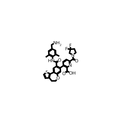 Cc1cc(CN)cc(C)c1NC(=O)c1cc2c(cc1-c1ccc(C(=O)N3CCC(F)(F)C3)nc1C(=O)O)OCCc1ccsc1-2